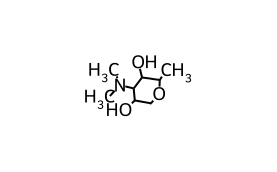 CC1OCC(O)C(N(C)C)C1O